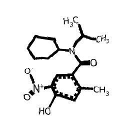 Cc1cc(O)c([N+](=O)[O-])cc1C(=O)N(C(C)C)C1CCCCC1